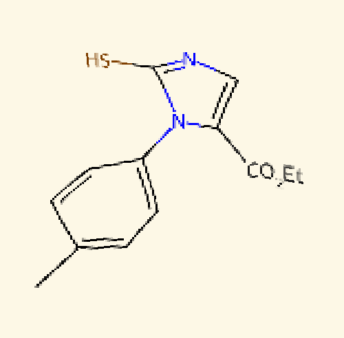 CCOC(=O)c1cnc(S)n1-c1ccc(C)cc1